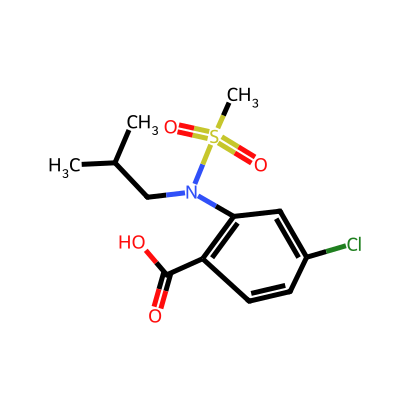 CC(C)CN(c1cc(Cl)ccc1C(=O)O)S(C)(=O)=O